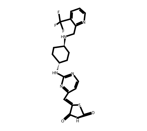 O=C1NC(=O)/C(=C/c2ccnc(N[C@H]3CC[C@H](NCc4ncccc4C(F)(F)F)CC3)n2)S1